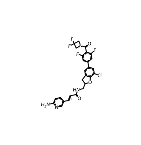 Nc1ccc(/C=C/C(=O)NCC2Cc3cc(-c4cc(F)c(C(=O)N5CC(F)(F)C5)c(F)c4)cc(Cl)c3O2)cn1